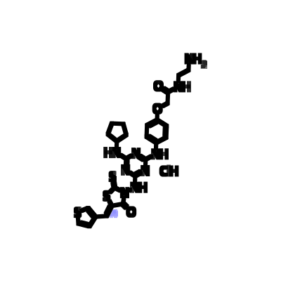 Cl.NCCNC(=O)COc1ccc(Nc2nc(NC3CCCC3)nc(NN3C(=O)/C(=C/c4ccsc4)SC3=S)n2)cc1